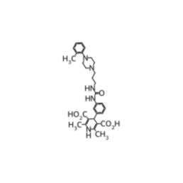 CC1=C(C(=O)O)C(c2cccc(NC(=O)NCCCN3CCN(c4ccccc4C)CC3)c2)C(C(=O)O)=C(C)N1